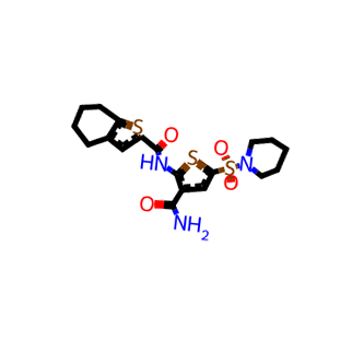 NC(=O)c1cc(S(=O)(=O)N2CCCCC2)sc1NC(=O)c1cc2c(s1)CCCC2